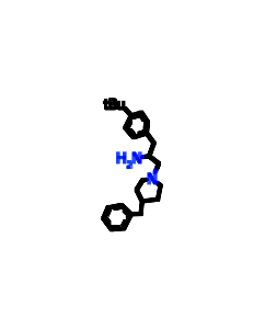 CC(C)(C)c1ccc(CC(N)CN2CCC(Cc3ccccc3)CC2)cc1